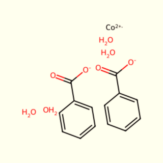 O.O.O.O.O=C([O-])c1ccccc1.O=C([O-])c1ccccc1.[Co+2]